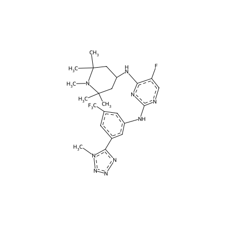 CN1C(C)(C)CC(Nc2nc(Nc3cc(-c4nnnn4C)cc(C(F)(F)F)c3)ncc2F)CC1(C)C